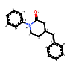 O=C1CC(Cc2ccccc2)CCN1c1ccccc1